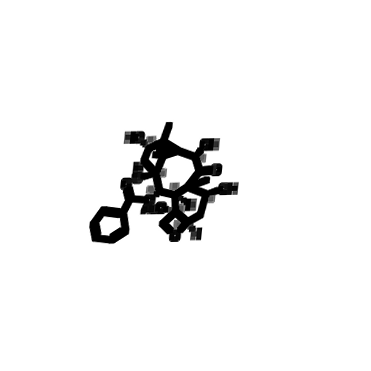 CC(=O)O[C@@]12CO[C@@H]1C[C@H](O)C1(C)C(=O)[C@H](O)C3=C(C)[C@@H](O)C[C@@](O)([C@@H](OC(=O)c4ccccc4)[C@@H]12)C3(C)C